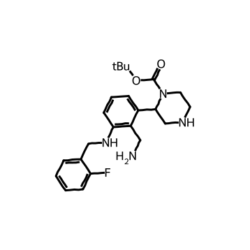 CC(C)(C)OC(=O)N1CCNCC1c1cccc(NCc2ccccc2F)c1CN